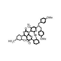 COc1ccc(CN(Cc2ccc(OC)cc2)c2cc(C)c(-n3c(=O)nc(N4CCN(C(=O)O)CC4C)c4cc(Cl)c(-c5ccccc5F)nc43)c(C(C)C)n2)cc1